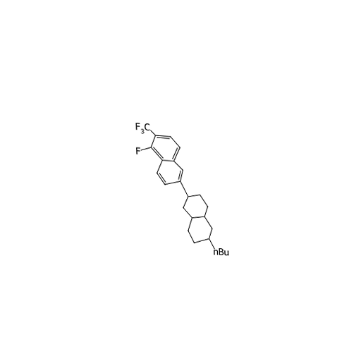 CCCCC1CCC2CC(c3ccc4c(F)c(C(F)(F)F)ccc4c3)CCC2C1